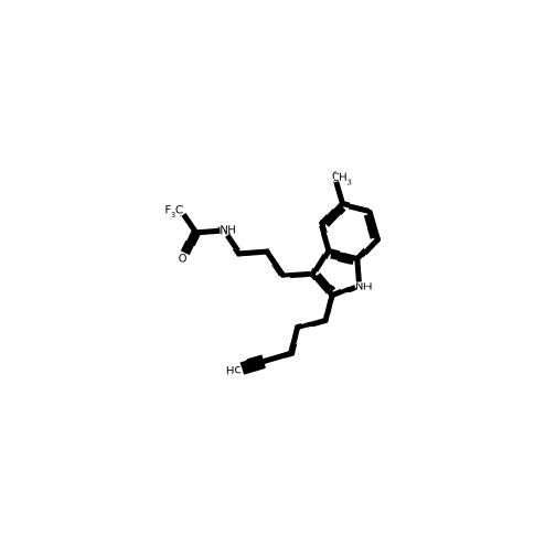 C#CCCCc1[nH]c2ccc(C)cc2c1CCCNC(=O)C(F)(F)F